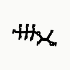 OC(F)=C(F)OC(F)(F)C(F)(F)C(F)(F)F